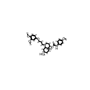 COc1ccc(NC(=S)O[C@H]2CCN(CCCOc3ccc(OC)c(OC)c3)C3CCCC[C@H]32)cc1.Cl